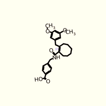 COc1cc(C/C2=C(\C(=O)NCc3ccc(C(=O)O)cc3)CCCCCC2)cc(OC)c1